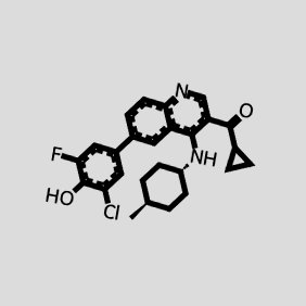 C[C@H]1CC[C@H](Nc2c(C(=O)C3CC3)cnc3ccc(-c4cc(F)c(O)c(Cl)c4)cc23)CC1